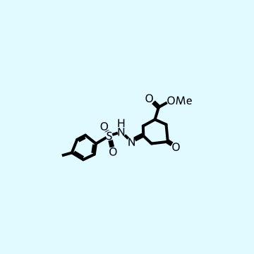 COC(=O)C1CC(=O)CC(=NNS(=O)(=O)c2ccc(C)cc2)C1